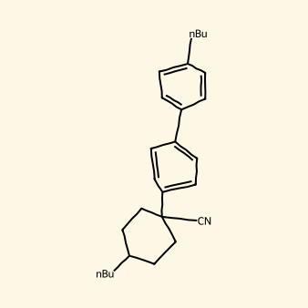 CCCCc1ccc(-c2ccc(C3(C#N)CCC(CCCC)CC3)cc2)cc1